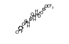 O=C(CO[C@H]1C[C@@H](OC(F)(F)F)C1)NNC(=O)N1CC(NC(=O)COc2ccc(Cl)c(F)c2)C1